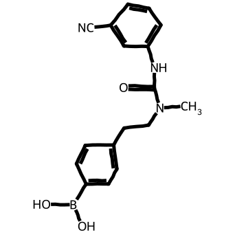 CN(CCc1ccc(B(O)O)cc1)C(=O)Nc1cccc(C#N)c1